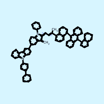 C=c1/c(=C\C=C(/C)c2cccc3c(-c4c5ccccc5c(-c5cccc6ccccc56)c5ccccc45)cccc23)n(-c2ccccc2)c2ccc(-c3ccc4c(c3)c3ccccc3n4-c3ccc(-c4ccccc4)cc3)cc12